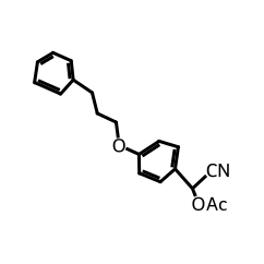 CC(=O)OC(C#N)c1ccc(OCCCc2ccccc2)cc1